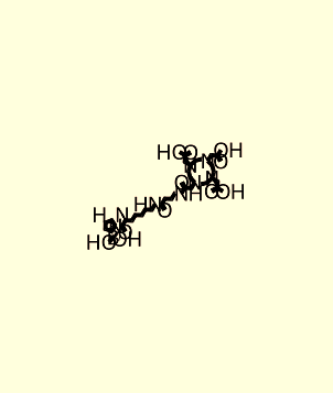 N[C@@H](CCCCCNC(=O)CCCNC(=O)CN1CCN(CC(=O)O)CCN(CC(=O)O)CCN(CC(=O)O)CC1)C(=O)N1CCC[C@H]1B(O)O